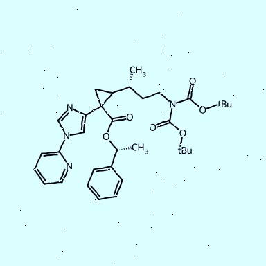 C[C@H](CCN(C(=O)OC(C)(C)C)C(=O)OC(C)(C)C)C1CC1(C(=O)O[C@H](C)c1ccccc1)c1cn(-c2ccccn2)cn1